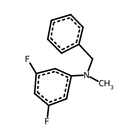 CN(Cc1ccccc1)c1cc(F)cc(F)c1